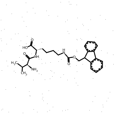 CC(C)[C@H](N)C(=O)N[C@@H](CCCCNC(=O)OCC1c2ccccc2-c2ccccc21)C(=O)O